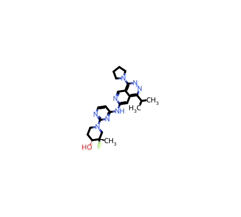 CC(C)c1nnc(N2CCCC2)c2cnc(Nc3ccnc(N4CC[C@@H](O)[C@@](C)(F)C4)n3)cc12